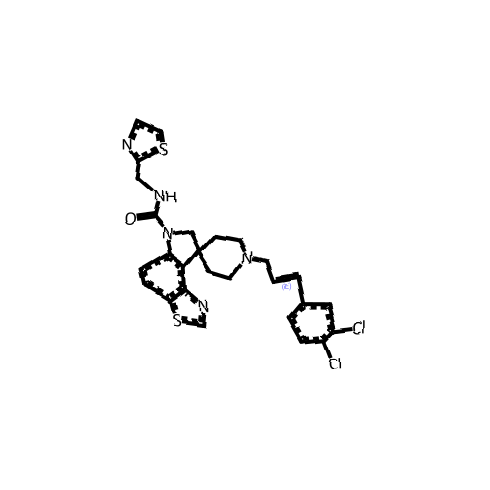 O=C(NCc1nccs1)N1CC2(CCN(C/C=C/c3ccc(Cl)c(Cl)c3)CC2)c2c1ccc1scnc21